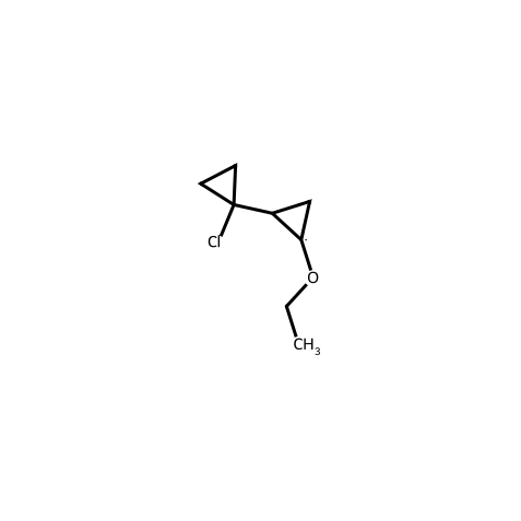 CCO[C]1CC1C1(Cl)CC1